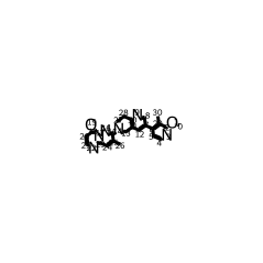 COc1nccc(-c2cnc3c(c2)CN(c2nn4c(=O)ccnc4cc2C)CC3)c1C